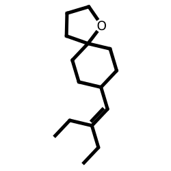 CCC(=CC1CCC2(CCCO2)CC1)CC